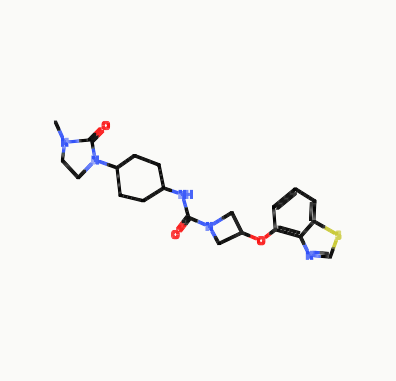 CN1CCN(C2CCC(NC(=O)N3CC(Oc4cccc5scnc45)C3)CC2)C1=O